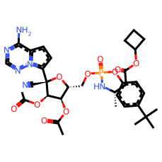 CC(=O)O[C@H]1[C@@H](OC(C)=O)[C@](C#N)(c2ccc3c(N)ncnn23)O[C@@H]1COP(=O)(N[C@@H](C)CC(=O)OC1CCC1)Oc1ccc(C(C)(C)C)cc1